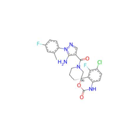 Cc1cc(F)ccc1-n1ncc(C(=O)N2CCC[C@@]3(C2)OC(=O)Nc2ccc(Cl)c(F)c23)c1N